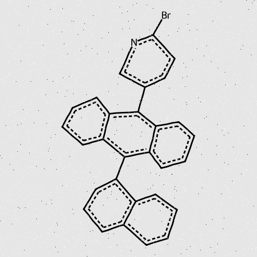 Brc1ccc(-c2c3ccccc3c(-c3cccc4ccccc34)c3ccccc23)cn1